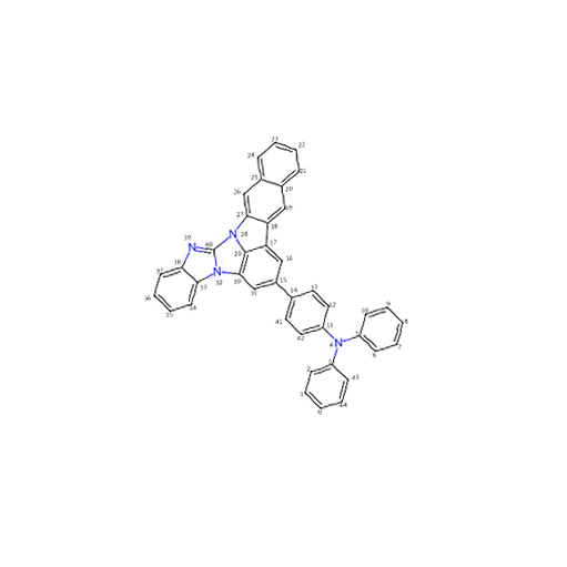 c1ccc(N(c2ccccc2)c2ccc(-c3cc4c5cc6ccccc6cc5n5c4c(c3)n3c4ccccc4nc35)cc2)cc1